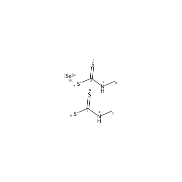 CNC(=S)[S-].CNC(=S)[S-].[Se+2]